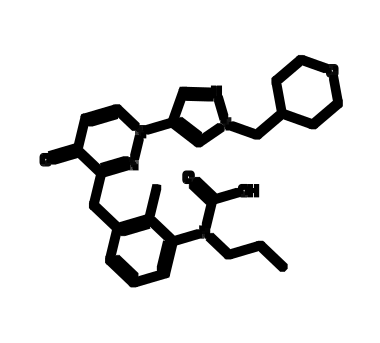 CCCN(C(=O)O)c1cccc(Cc2nn(-c3cnn(CC4CCOCC4)c3)ccc2=O)c1C